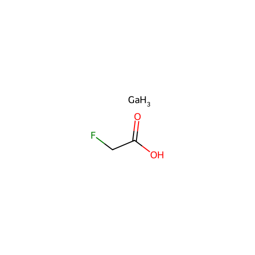 O=C(O)CF.[GaH3]